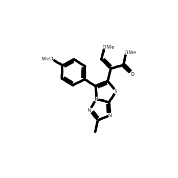 COC=C(C(=O)OC)c1sc2nc(C)nn2c1-c1ccc(OC)cc1